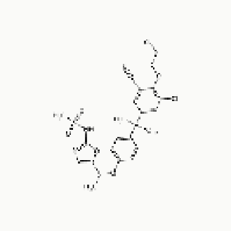 CC(Oc1ccc(C(C)(C)c2cc(Cl)c(OCCCl)c(C#N)c2)cc1)c1cnc(NS(C)(=O)=O)o1